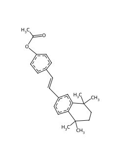 CC(=O)Oc1ccc(C=Cc2ccc3c(c2)C(C)(C)CCC3(C)C)cc1